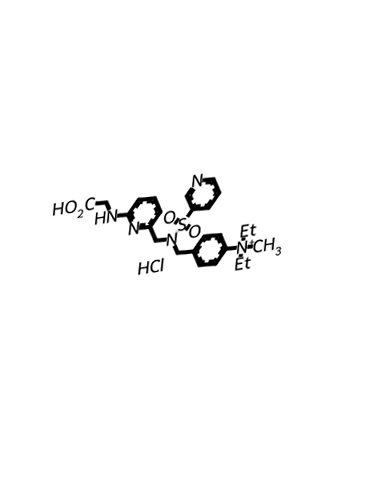 CC[N+](C)(CC)c1ccc(CN(Cc2cccc(NCC(=O)O)n2)S(=O)(=O)c2cccnc2)cc1.Cl